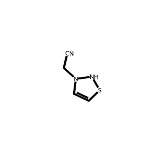 N#CCN1C=CSN1